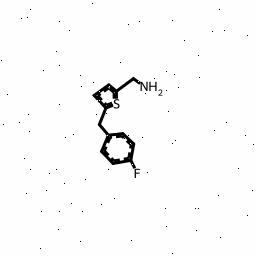 NCc1ccc(Cc2ccc(F)cc2)s1